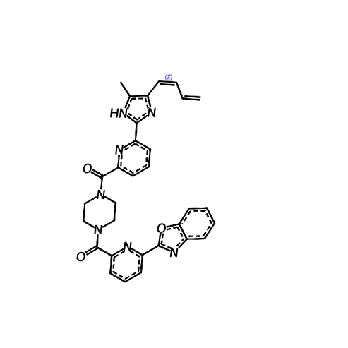 C=C/C=C\c1nc(-c2cccc(C(=O)N3CCN(C(=O)c4cccc(-c5nc6ccccc6o5)n4)CC3)n2)[nH]c1C